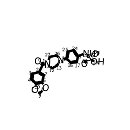 O=C(c1ccc2c(c1)OCO2)N1CCN(c2ccc(NS(=O)(=O)O)cc2)CC1